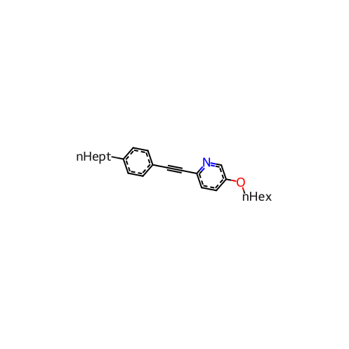 CCCCCCCc1ccc(C#Cc2ccc(OCCCCCC)cn2)cc1